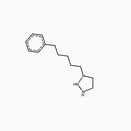 c1ccc(CCCCCN2CCNN2)cc1